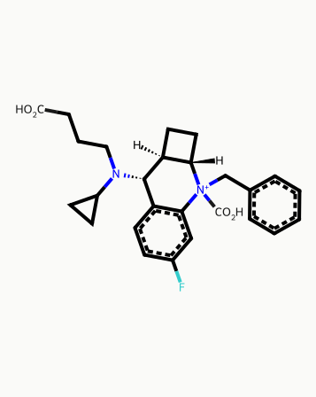 O=C(O)CCCN(C1CC1)[C@H]1c2ccc(F)cc2[N+](Cc2ccccc2)(C(=O)O)[C@H]2CC[C@H]12